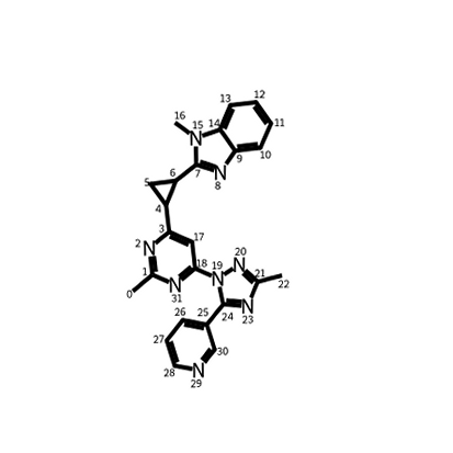 Cc1nc(C2CC2c2nc3ccccc3n2C)cc(-n2nc(C)nc2-c2cccnc2)n1